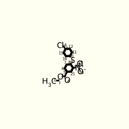 CCOC(=O)c1ccc(Sc2ccc(Cl)cc2)c([N+](=O)[O-])c1